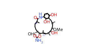 CO[C@H]1C[C@H](C)Cc2c(O)ccc(c2O)NC(=O)/C(C)=C/CC[C@H](C=O)[C@@H](OC(N)=O)/C(C)=C/[C@H](C)[C@H]1O